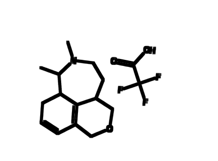 CC1C2CC=CC3=C2C(CCN1C)COC3.O=C(O)C(F)(F)F